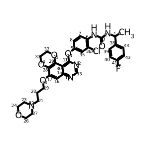 CC(NC(=O)Nc1ccc(Oc2ncnc3cc(OCCCN4CCOCC4)c4c(c23)OCCO4)cc1Cl)c1ccc(F)cc1